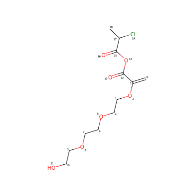 C=C(OCCOCCOCCO)C(=O)OC(=O)C(C)Cl